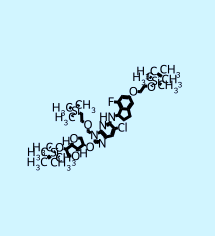 CC(C)(C)[Si](C)(C)OCCOc1cc(F)c2c(c1)CCC2Nc1nc2c(cc1Cl)nc(O[C@@H]1CO[C@@H]3C(O[Si](C)(C)C(C)(C)C)CO[C@@H]31)n2COCC[Si](C)(C)C